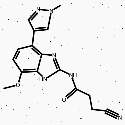 COc1ccc(-c2cnn(C)c2)c2nc(NC(=O)CCC#N)[nH]c12